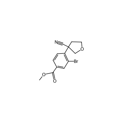 COC(=O)c1ccc(C2(C#N)CCOC2)c(Br)c1